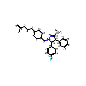 C=C(C)CCCC1CCC(CN2N=C(CCC)C(c3ccccc3)C2C2C=CC(F)=CC2)CC1